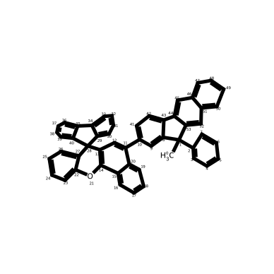 CC1(c2ccccc2)c2cc(-c3cc4c(c5ccccc35)Oc3ccccc3C43c4ccccc4-c4ccccc43)ccc2-c2cc3ccccc3cc21